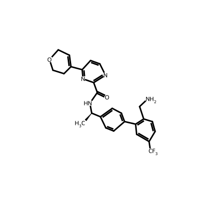 C[C@@H](NC(=O)c1nccc(C2=CCOCC2)n1)c1ccc(-c2cc(C(F)(F)F)ccc2CN)cc1